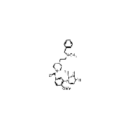 [2H]C1C=CN(c2cc(C(=O)N3CCC(CCN(C)Cc4ccccc4)CC3)ccc2OC)C([2H])N1